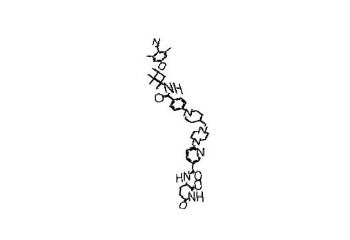 Cc1cc(OC2(C)CC(C)(NC(=O)c3ccc(N4CCC(CN5CCN(c6ccc(C(=O)N[C@H]7CCC(=O)NC7=O)cn6)CC5)CC4)cc3)C2(C)C)cc(C)c1C#N